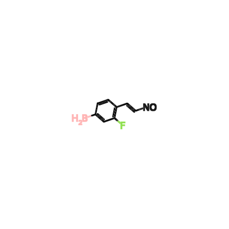 Bc1ccc(/C=C/N=O)c(F)c1